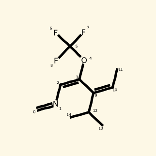 C=N/C=C(OC(F)(F)F)\C(=C/C)C(C)C